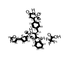 O=C(O)C(F)(F)F.O=C1CC(c2ccc(C[C@H](NS(=O)(=O)c3ccc(-c4cnco4)s3)c3nc4ccccc4[nH]3)cc2)S(=O)(=O)N1